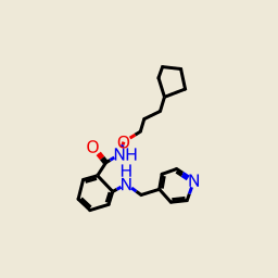 O=C(NOCCCC1CCCC1)c1ccccc1NCc1ccncc1